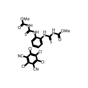 COC(=O)NC(=S)Nc1ccccc1NC(=S)NC(=O)OC.N#Cc1c(Cl)c(Cl)c(Cl)c(C#N)c1Cl